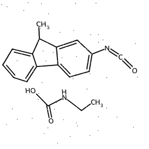 CC1c2ccccc2-c2ccc(N=C=O)cc21.CCNC(=O)O